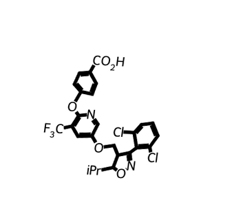 CC(C)C1ON=C(c2c(Cl)cccc2Cl)C1COc1cnc(Oc2ccc(C(=O)O)cc2)c(C(F)(F)F)c1